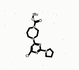 CC(C)(C)OC(=O)N1CCCN(c2cc(Cl)nc(N3CCCC3)n2)CC1